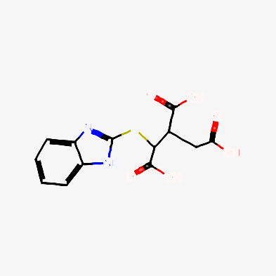 O=C(O)CC(C(=O)O)C(Sc1nc2ccccc2[nH]1)C(=O)O